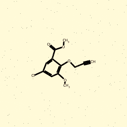 C#CCOc1c(OC)cc(Cl)cc1C(=O)OC